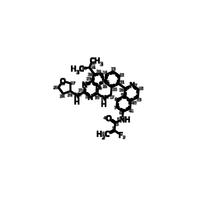 C=C(F)C(=O)Nc1ccc2c(-c3ccccc3CNc3nc(NC4CCOC4)nc4c(C(C)C)cnn34)nccc2c1